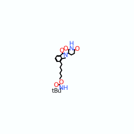 CC(C)(C)NC(=O)OCCCCCCc1cccc2c1CN(C1CCC(=O)NC1=O)C2=O